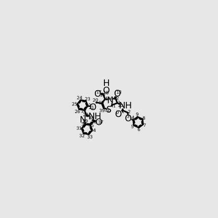 O=C(COc1ccccc1)NC1C(=O)N2C(C(=O)O)C(COc3ccccc3-c3nc4ccccc4c(=O)[nH]3)=CSC12